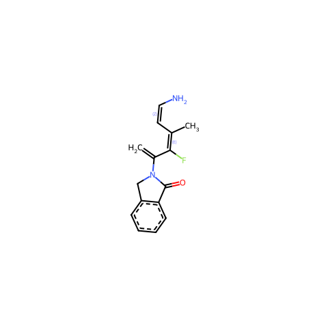 C=C(/C(F)=C(C)\C=C/N)N1Cc2ccccc2C1=O